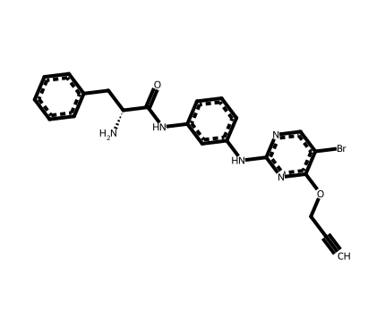 C#CCOc1nc(Nc2cccc(NC(=O)[C@H](N)Cc3ccccc3)c2)ncc1Br